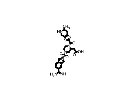 CC1Cc2nc(C(=O)N3CCN(S(=O)(=O)n4cc5ccc(C(=N)N)cc5c4)CC3CC(=O)O)sc2CN1